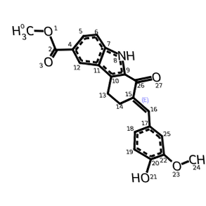 COC(=O)c1ccc2[nH]c3c(c2c1)CC/C(=C\c1ccc(O)c(OC)c1)C3=O